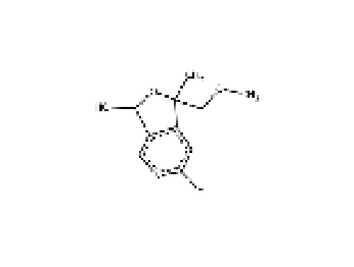 COCC1(C)OC(O)c2cnc(Cl)cc21